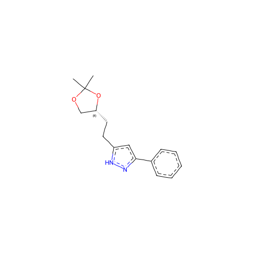 CC1(C)OC[C@@H](CCc2cc(-c3ccccc3)n[nH]2)O1